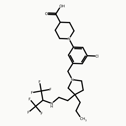 CCCC1(CCNC(C(F)(F)F)C(F)(F)F)CCN(Cc2cc(Cl)cc(N3CCC(C(=O)O)CC3)c2)C1